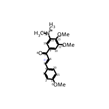 COc1ccc(/C=C/C(=O)c2cc(OC)c(OC)c(N(C)C)c2)cc1